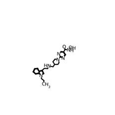 CCCn1cc(CCNCC2CCN(c3ncc(C(=O)NO)cn3)CC2)c2ccccc21